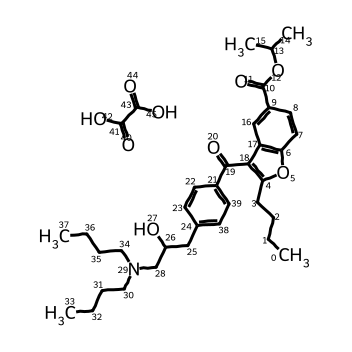 CCCCc1oc2ccc(C(=O)OC(C)C)cc2c1C(=O)c1ccc(CC(O)CN(CCCC)CCCC)cc1.O=C(O)C(=O)O